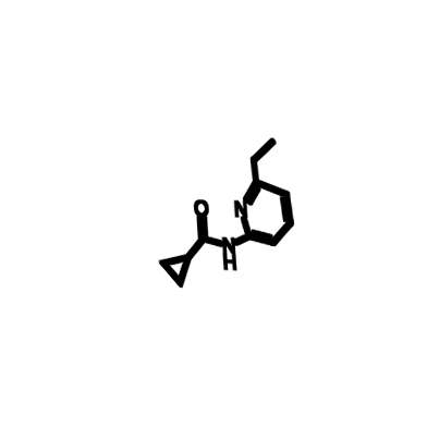 CCc1cccc(NC(=O)C2CC2)n1